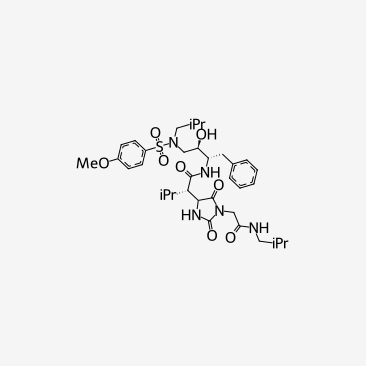 COc1ccc(S(=O)(=O)N(CC(C)C)C[C@@H](O)[C@H](Cc2ccccc2)NC(=O)[C@@H](C(C)C)C2NC(=O)N(CC(=O)NCC(C)C)C2=O)cc1